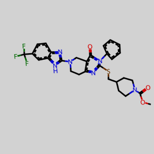 COC(=O)N1CCC(CSc2nc3c(c(=O)n2-c2ccccc2)CN(c2nc4ccc(C(F)(F)F)cc4[nH]2)CC3)CC1